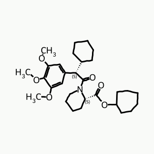 COc1cc([C@@H](C(=O)N2CCCC[C@H]2C(=O)OC2CCCCCC2)C2CCCCC2)cc(OC)c1OC